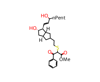 CCCCCC(O)C=C[C@H]1[C@@H]2CC(CCSC(C(=O)OC)C(=O)c3ccccc3)C[C@H]2C[C@@H]1O